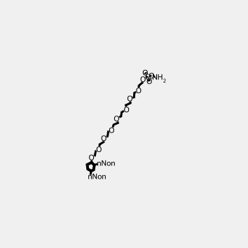 CCCCCCCCCc1ccc(OCCOCCOCCOCCOCCOCCOCCOCCOS(=O)(=O)ON)c(CCCCCCCCC)c1